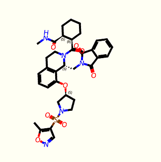 CNC(=O)[C@H]1CCCC[C@H]1C(=O)N1CCc2cccc(O[C@H]3CCN(S(=O)(=O)c4cnoc4C)C3)c2[C@H]1CN1C(=O)c2ccccc2C1=O